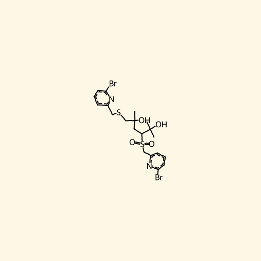 CC(O)(CSCc1cccc(Br)n1)CC(C(C)(C)O)S(=O)(=O)Cc1cccc(Br)n1